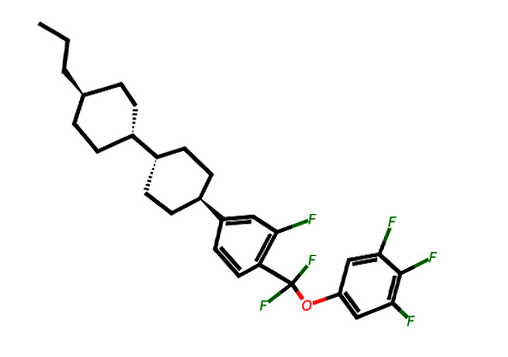 CCC[C@H]1CC[C@H]([C@H]2CC[C@H](c3ccc(C(F)(F)Oc4cc(F)c(F)c(F)c4)c(F)c3)CC2)CC1